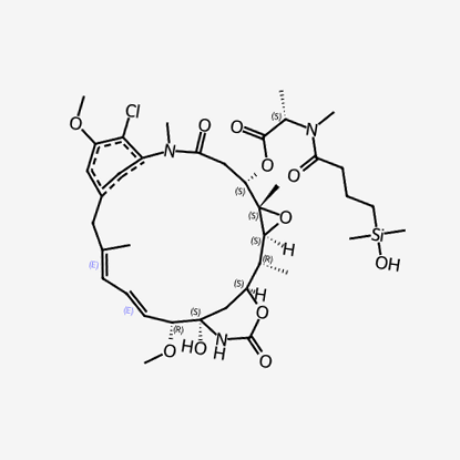 COc1cc2cc(c1Cl)N(C)C(=O)C[C@H](OC(=O)[C@H](C)N(C)C(=O)CCC[Si](C)(C)O)[C@]1(C)O[C@H]1[C@H](C)[C@@H]1C[C@@](O)(NC(=O)O1)[C@H](OC)/C=C/C=C(\C)C2